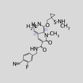 CNSC1(CO/C(N)=c2/c(=C\N)cc(C(=O)NCc3ccc(C#N)c(F)c3)c(=O)n2C)CC1